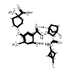 COc1cc(C)c(O[C@H]2CC[C@@](C)(C(=O)OC)CC2)cc1C(=O)N[C@@H]1[C@H]2CC[C@H](C2)[C@@H]1C(=O)NC12CC(F)(C1)C2